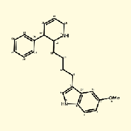 COc1ccc2[nH]cc(CCCCC3NCC=CC3c3ccccc3)c2c1